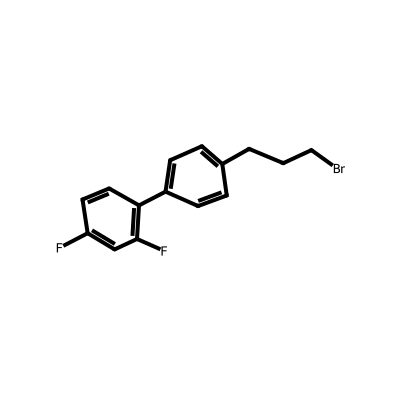 Fc1ccc(-c2ccc(CCCBr)cc2)c(F)c1